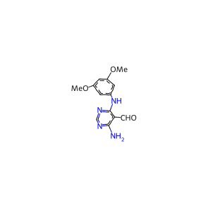 COc1cc(Nc2ncnc(N)c2C=O)cc(OC)c1